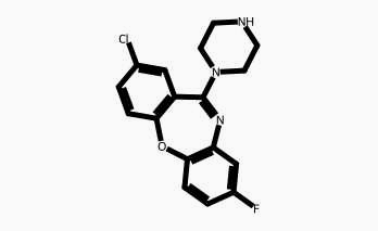 Fc1ccc2c(c1)N=C(N1CCNCC1)c1cc(Cl)ccc1O2